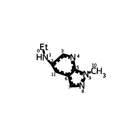 CCNc1cnc2c(cnn2C)c1